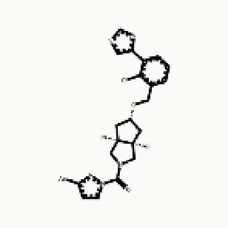 CC(=O)c1ccn(C(=O)N2C[C@H]3C[C@H](OCc4cccc(-c5cscn5)c4Cl)C[C@H]3C2)n1